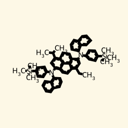 CCc1cc(N(c2ccc([Si](C)(C)C)cc2)c2cccc3ccccc23)c2ccc3c(C(C)C)cc(N(c4ccc([Si](C)(C)C)cc4)c4cccc5ccccc45)c4ccc1c2c34